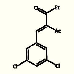 CCC(=O)/C(=C/c1cc(Cl)cc(Cl)c1)C(C)=O